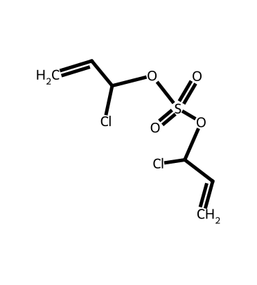 C=CC(Cl)OS(=O)(=O)OC(Cl)C=C